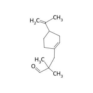 C=C(C)C1CC=C(CC(C)(C)C=O)CC1